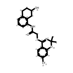 CC1(C)N=C(SCC(=O)Nc2cccc3c2CC(O)CC3)c2ccc(C(F)(F)F)cc2O1